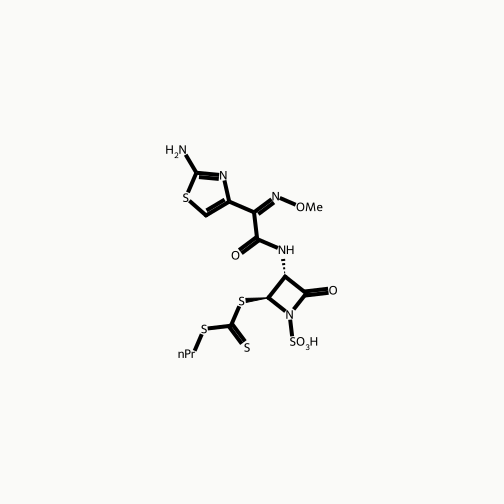 CCCSC(=S)S[C@H]1[C@H](NC(=O)C(=NOC)c2csc(N)n2)C(=O)N1S(=O)(=O)O